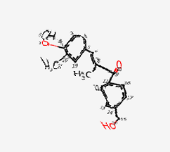 COc1ccc(/C=C(\C)C(=O)c2ccc(CO)cc2)cc1C